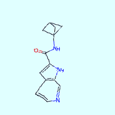 O=C(NC12CC(C1)C2)c1cc2ccncc2[nH]1